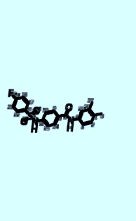 Cc1ccc(NC(=O)c2ccc(NS(=O)(=O)c3ccc(F)cc3)cc2)cc1C